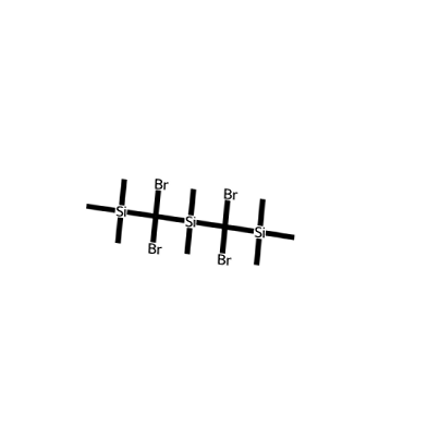 C[Si](C)(C)C(Br)(Br)[Si](C)(C)C(Br)(Br)[Si](C)(C)C